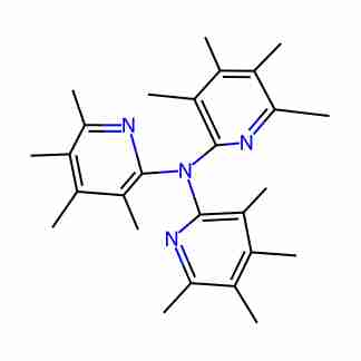 Cc1nc(N(c2nc(C)c(C)c(C)c2C)c2nc(C)c(C)c(C)c2C)c(C)c(C)c1C